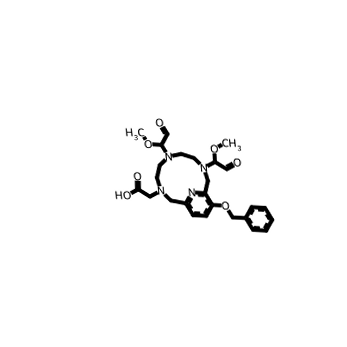 COC(C=O)N1CCN(CC(=O)O)Cc2ccc(OCc3ccccc3)c(n2)CN(C(C=O)OC)CC1